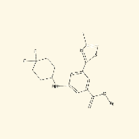 C=C(OCC)c1cc(NC2CCC(F)(F)CC2)cc(-c2nc(C)cs2)c1